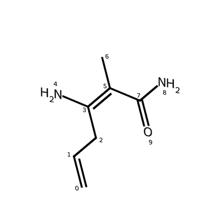 C=CCC(N)=C(C)C(N)=O